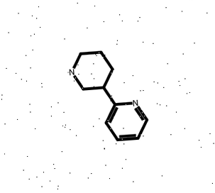 c1ccc(C2CCC[N]C2)nc1